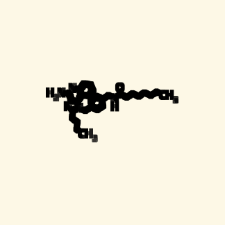 CCCCCCCC(=O)NCc1ccc(Cn2c(CCCC)nc3c(N)nc4ccccc4c32)cc1